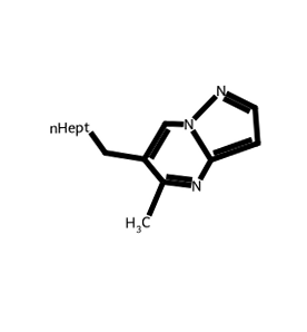 CCCCCCCCc1cn2nccc2nc1C